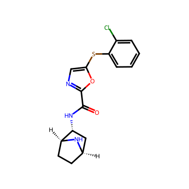 O=C(N[C@@H]1C[C@H]2CC[C@@H]1N2)c1ncc(Sc2ccccc2Cl)o1